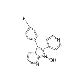 On1c(-c2ccncc2)c(-c2ccc(F)cc2)c2cccnc21